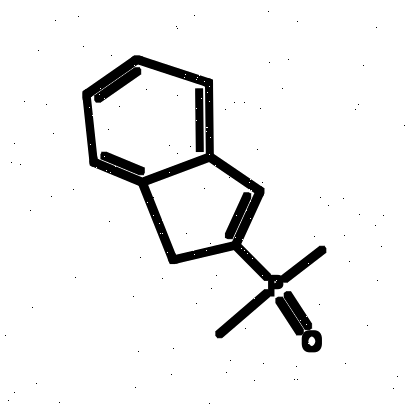 CP(C)(=O)C1=Cc2ccccc2C1